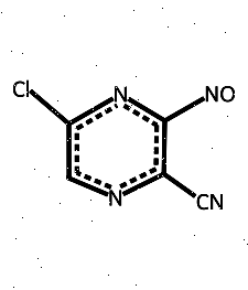 N#Cc1ncc(Cl)nc1N=O